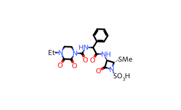 CCN1CCN(C(=O)NC(C(=O)N[C@@H]2C(=O)N(S(=O)(=O)O)[C@H]2SC)c2ccccc2)C(=O)C1=O